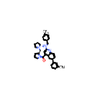 N#Cc1cccc(-c2ccc3nc(NCc4ccc(C(F)(F)F)cc4)cc(C(=O)N4CCC[C@H]4CN4CCCC4)c3c2)c1